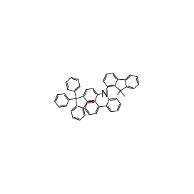 CC1(C)c2ccccc2-c2cccc(N(c3ccc4c(c3)-c3ccccc3C4(c3ccccc3)c3ccccc3)c3ccccc3-c3ccccc3)c21